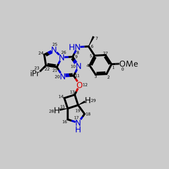 COc1cccc([C@H](C)Nc2nc(OC3C[C@H]4CNC[C@@H]34)nc3c(C(C)C)cnn23)c1